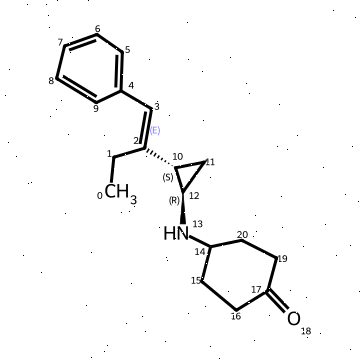 CC/C(=C\c1ccccc1)[C@@H]1C[C@H]1NC1CCC(=O)CC1